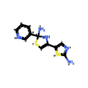 Nc1ncc(C2=CSC(N)(c3cccnc3)N2)s1